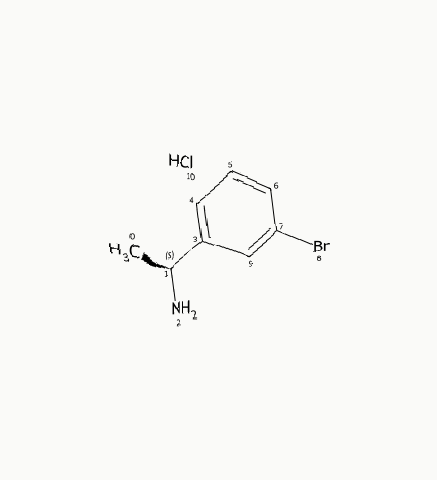 C[C@H](N)c1cccc(Br)c1.Cl